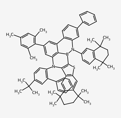 Cc1cc(C)c(-c2cc3c4c(c2)N(c2ccc(C(C)(C)C)cc2-c2ccccc2)c2c(sc5cc6c(cc25)C(C)(C)CCC6(C)C)B4N(c2ccc4c(c2)C(C)(C)CCC4(C)C)c2cc(-c4ccccc4)ccc2-3)c(C)c1